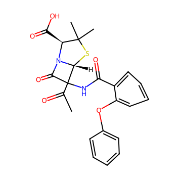 CC(=O)C1(NC(=O)c2ccccc2Oc2ccccc2)C(=O)N2[C@@H](C(=O)O)C(C)(C)S[C@@H]21